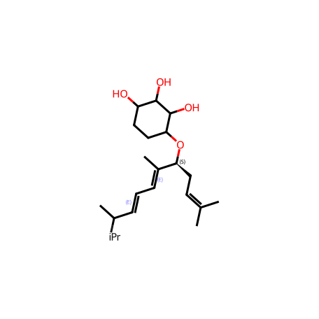 CC(C)=CC[C@H](OC1CCC(O)C(O)C1O)/C(C)=C/C=C/C(C)C(C)C